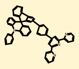 c1ccc(N2c3ccccc3C3(c4ccccc4-c4ccc(-c5ccc(-c6cc(-c7ccccn7)nc(-c7ccccn7)c6)cc5)cc43)c3ccccc32)cc1